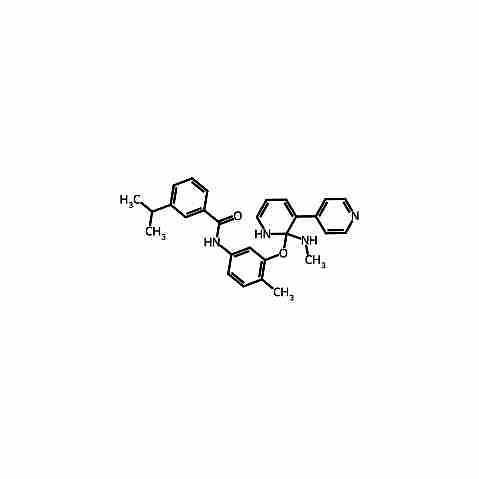 CNC1(Oc2cc(NC(=O)c3cccc(C(C)C)c3)ccc2C)NC=CC=C1c1ccncc1